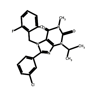 CC(C)n1c(=O)n(C)c(=O)c2c1nc(-c1cccc(Cl)c1)n2Cc1c(F)cccc1Cl